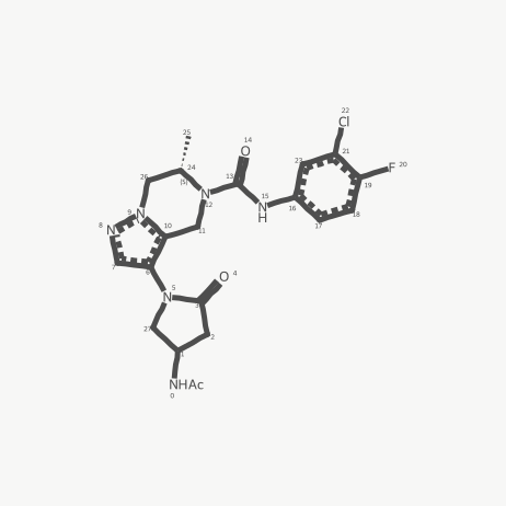 CC(=O)NC1CC(=O)N(c2cnn3c2CN(C(=O)Nc2ccc(F)c(Cl)c2)[C@@H](C)C3)C1